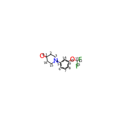 O=C1CCN(c2cccc(OC(F)F)c2)CC1